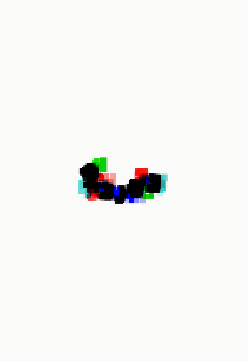 O=C(c1ccc(NC2CN(C3CCN(C(=O)C(O)(c4cccc(Cl)c4)C(F)(F)F)CC3)C2)cc1Cl)N1CCC(F)(F)CC1